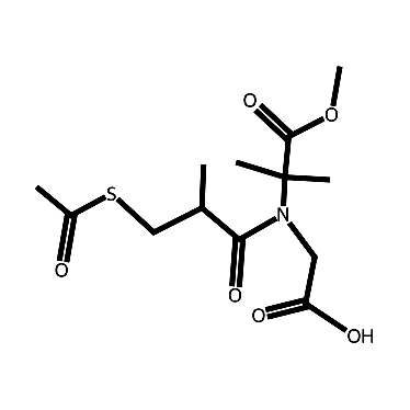 COC(=O)C(C)(C)N(CC(=O)O)C(=O)C(C)CSC(C)=O